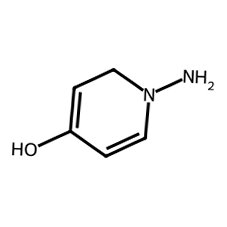 NN1C=CC(O)=CC1